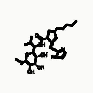 CCCCC[C@@H]1C[C@@H](C(=O)N[C@H](C(C)C)[C@H]2O[C@H](SC)[C@H](O)[C@@H](O)[C@H]2O)N(Cc2ncc[nH]2)C1